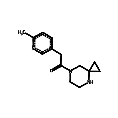 Cc1ccc(CC(=O)N2CCNC3(CC3)C2)cn1